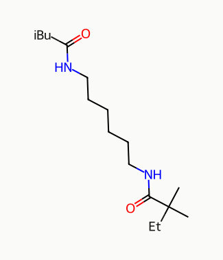 CCC(C)C(=O)NCCCCCCNC(=O)C(C)(C)CC